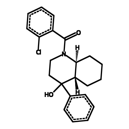 O=C(c1ccccc1Cl)N1CCC(O)(c2ccccc2)[C@H]2CCCC[C@@H]21